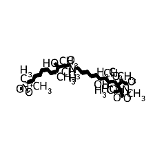 COC(CC(C)C(O)/C=C/C=C/CNC(=O)C(C)(C)C(O)\C(C)=C/C=C\C=C\C(C)=C(/C)[N+](=O)[O-])C1(O)C(C)C(=O)N(C)C12C(=O)OC2C